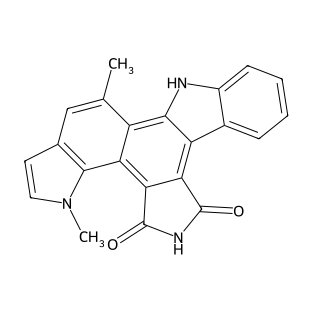 Cc1cc2ccn(C)c2c2c3c(c4c5ccccc5[nH]c4c12)C(=O)NC3=O